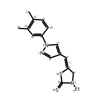 CCN1C/C(=C/c2cnn(-c3ccc(C)c(C)c3)c2)SC1=S